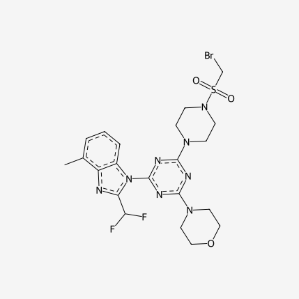 Cc1cccc2c1nc(C(F)F)n2-c1nc(N2CCOCC2)nc(N2CCN(S(=O)(=O)CBr)CC2)n1